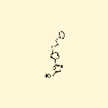 OCc1cnc(-c2ccc(OCCN3CCCC3)cc2)o1